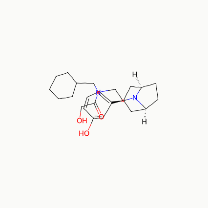 O=C(CO)N(CCN1[C@@H]2CC[C@H]1C[C@@H](c1cccc(O)c1)C2)CC1CCCCC1